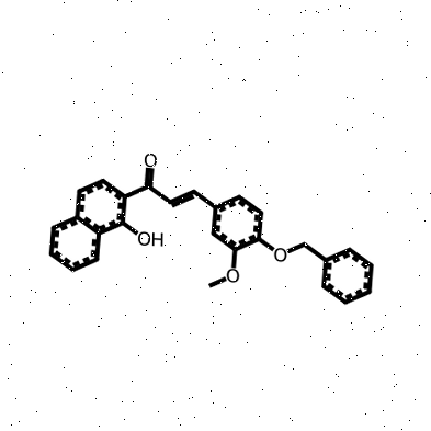 COc1cc(C=CC(=O)c2ccc3ccccc3c2O)ccc1OCc1ccccc1